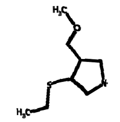 CCSC1C[N]CC1COC